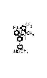 CC(NC(=O)[C@]1(c2ccccc2)CC[C@@H](N2CCC(C)(O)CC2)CC1)c1cc(C(F)(F)F)cc(C(F)(F)F)c1